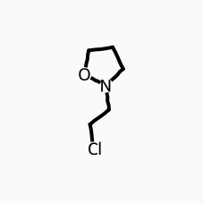 ClCCN1CCCO1